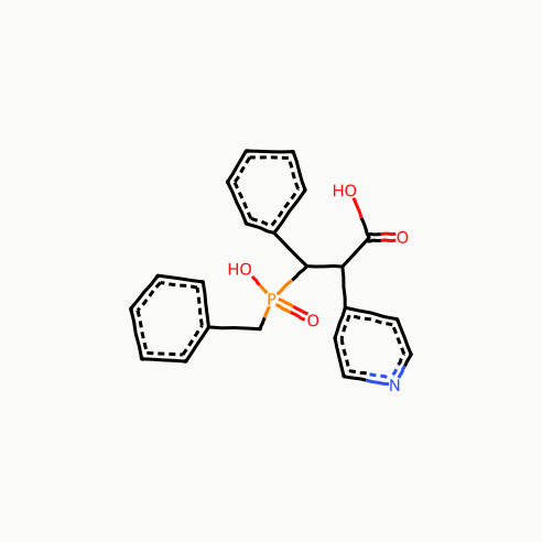 O=C(O)C(c1ccncc1)C(c1ccccc1)P(=O)(O)Cc1ccccc1